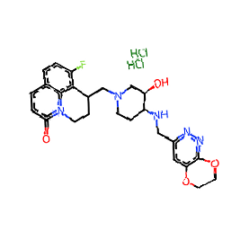 Cl.Cl.O=c1ccc2ccc(F)c3c2n1CCC3CN1CC[C@H](NCc2cc3c(nn2)OCCO3)[C@H](O)C1